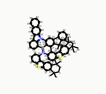 CC1(C)CCC(C)(C)c2cc3c(cc21)sc1cccc(N2B4c5c(cc6c(c5-c5c2ccc2sc7cc8c(cc7c52)C(C)(C)CCC8(C)C)C(C)(C)c2ccccc2-6)-n2c5cc6ccccc6cc5c5cccc4c52)c13